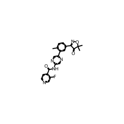 Cc1ccc(C2=NOC(C)(C)C2=O)cc1-c1cnc(NC(=O)c2ccncc2F)cn1